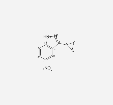 O=[N+]([O-])c1ccc2[nH]nc(C3CC3)c2c1